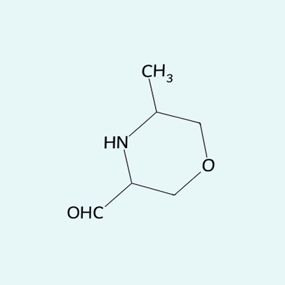 CC1COCC(C=O)N1